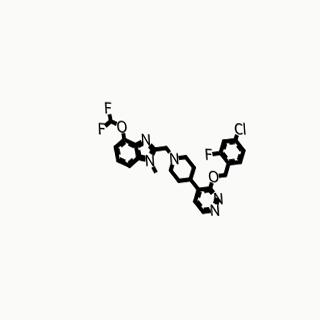 Cn1c(CN2CCC(c3ccnnc3OCc3ccc(Cl)cc3F)CC2)nc2c(OC(F)F)cccc21